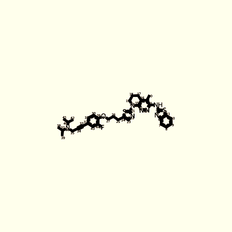 Cc1c(Nc2nc3ccccc3s2)nnc2c1CCCN2c1ncc(CCCOc2ccc(C#CCN(C(C)C)C(C)C)cc2F)s1